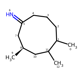 CC1CCCC(=N)C[C@H](C)CC1C